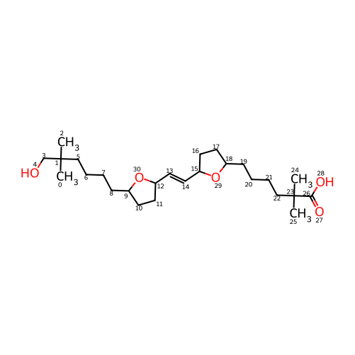 CC(C)(CO)CCCCC1CCC(/C=C/C2CCC(CCCCC(C)(C)C(=O)O)O2)O1